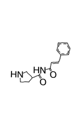 O=C(C=Cc1ccccc1)NC(=O)C1CCNC1